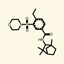 CCc1ccc(C(=O)NC2C3(C)CCC(C3)C2(C)C)cc1S(=O)(=O)N1CCOCC1